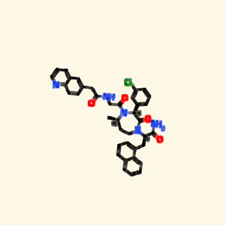 C[C@@H]1CCN([C@H](Cc2cccc3ccccc23)C(N)=O)C(=O)[C@H](c2cccc(Cl)c2)N1C(=O)CNC(=O)Cc1ccc2ncccc2c1